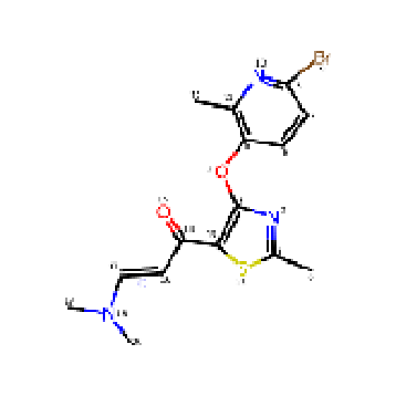 Cc1nc(Oc2ccc(Br)nc2C)c(C(=O)/C=C/N(C)C)s1